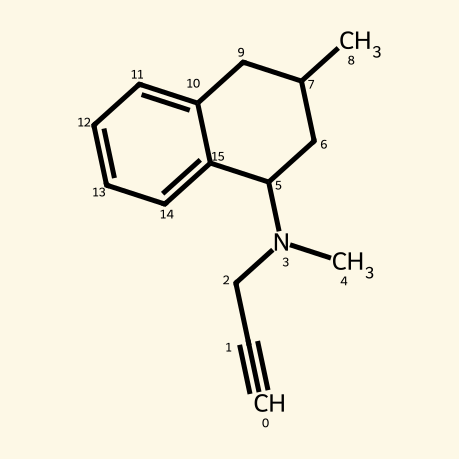 C#CCN(C)C1CC(C)Cc2ccccc21